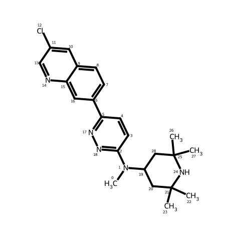 CN(c1ccc(-c2ccc3cc(Cl)cnc3c2)nn1)C1CC(C)(C)NC(C)(C)C1